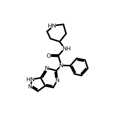 O=C(NC1CCNCC1)N(c1ccccc1)c1ncc2cn[nH]c2n1